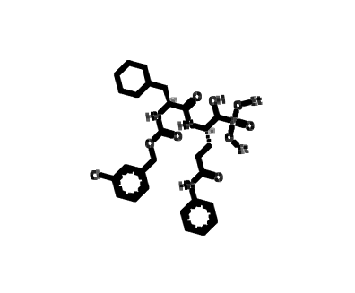 CCOP(=O)(OCC)C(O)[C@H](CCC(=O)Nc1ccccc1)NC(=O)[C@H](CC1CCCCC1)NC(=O)OCc1cccc(Cl)c1